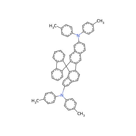 Cc1ccc(N(c2ccc(C)cc2)c2ccc3cc4c(cc3c2)C2(c3ccccc3-c3ccccc32)c2c-4ccc3cc(N(c4ccc(C)cc4)c4ccc(C)cc4)ccc23)cc1